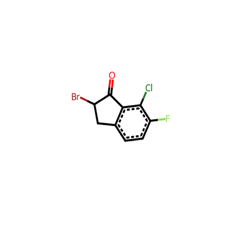 O=C1c2c(ccc(F)c2Cl)CC1Br